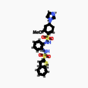 COC1=CC(n2ccnc2)CC=C1S(=O)(=O)Nc1ccccc1NS(=O)(=O)c1cc2ccccc2s1